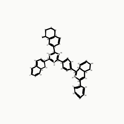 CC1CCCc2ccc(-c3nc(C4=CC=C5C=CC=CC5C4)nc(-c4ccc(C5=NC(c6ccccc6)=CC6CCC=CC56)cc4)n3)cc21